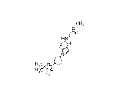 CCOC(=O)CCNc1ccc2c(ccn2C2CCN(C(=O)OC(C)(C)C)CC2)c1F